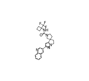 O=C(NC1(C(F)(F)F)CCC1)N1CCC2(CCn3nc(-c4cnc5ccccc5c4)cc32)C1